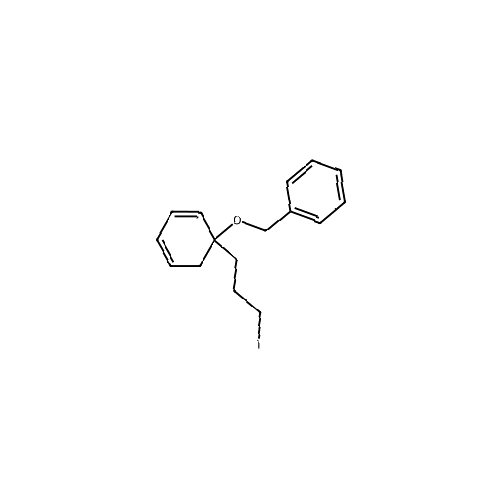 ICCCC1(OCc2ccccc2)C=CC=CC1